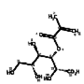 C=C(C)C(=O)O[C@@H]([C@H](O)[C@H](O)CO)[C@@H](O)C(=O)O